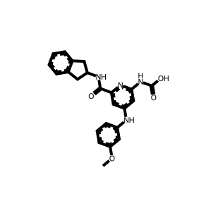 COc1cccc(Nc2cc(NC(=O)O)nc(C(=O)NC3Cc4ccccc4C3)c2)c1